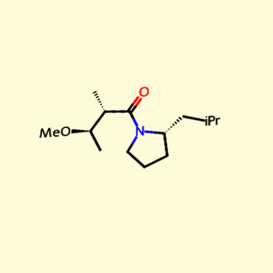 CO[C@H](C)[C@H](C)C(=O)N1CCC[C@H]1CC(C)C